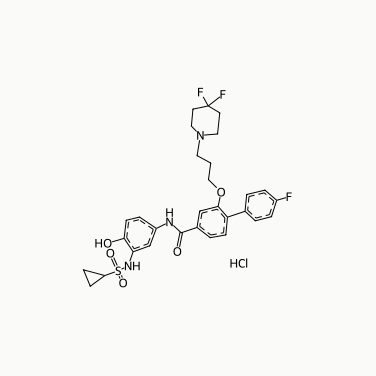 Cl.O=C(Nc1ccc(O)c(NS(=O)(=O)C2CC2)c1)c1ccc(-c2ccc(F)cc2)c(OCCCN2CCC(F)(F)CC2)c1